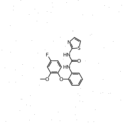 COc1cc(F)ccc1Oc1ccccc1NC(=O)Nc1nccs1